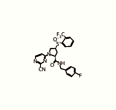 N#Cc1nccc(N2C[C@@H]([S+]([O-])c3ccccc3C(F)(F)F)C[C@H]2C(=O)NCc2ccc(F)cc2)n1